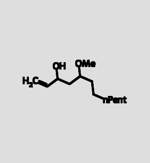 C=CC(O)CC(CCCCCCC)OC